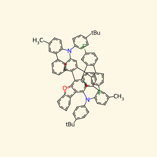 Cc1ccc(N(c2ccc(C(C)(C)C)cc2)c2ccc3c(c2)C2(c4cc(F)ccc4-c4ccc(F)cc42)c2cc(N(c4ccc(C(C)(C)C)cc4)c4ccc(C)cc4-c4ccccc4)c4c(oc5ccccc54)c2-3)c(-c2ccccc2)c1